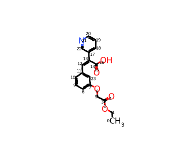 CCOC(=O)COc1cccc(C=C(C(=O)O)c2cccnc2)c1